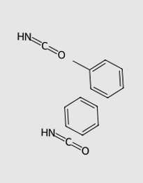 Cc1ccccc1.N=C=O.N=C=O.c1ccccc1